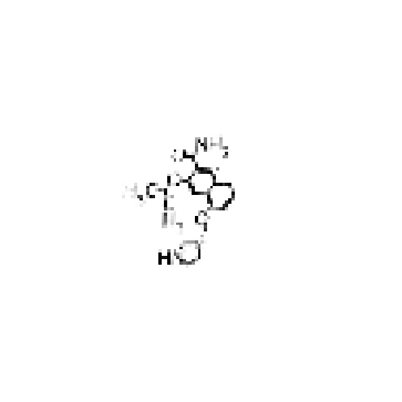 CC(C)Oc1cc2c(OC[C@@H]3CCNC3)cccc2[c]c1C(N)=O